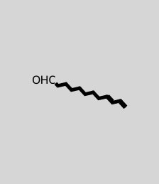 C=C/C=C/CCCCCCCC=O